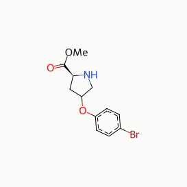 COC(=O)[C@@H]1CC(Oc2ccc(Br)cc2)CN1